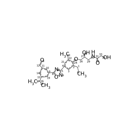 CCc1cc(-c2noc(-c3cc(C=O)cc(C(C)C)c3)n2)cc(C)c1OC[C@@H](O)CNC(=O)CO